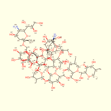 CC1C(O)[C@H](O[C@@H]2OC(CO[C@]3(C(=O)O)C[C@@H](O)[C@@H](N)C([C@H](O)[C@H](O)CO)O3)[C@H](O)C(O)[C@@H]2O)[C@H](CO)O[C@H]1O[C@@H]1C(O)[C@H](O)C(CO)O[C@@H]1OCC1O[C@@H](O[C@@H]2C(CO)O[C@@H](O[C@@H]3C(CO)O[C@@H](C)C(C)[C@H]3O)C(C)[C@H]2O)[C@H](O)C(O[C@H]2O[C@H](CO)[C@@H](O)C(O)C2O[C@@H]2OC(CO)[C@@H](O[C@@H]3OC(CO[C@]4(C(=O)O)C[C@@H](O)[C@@H](N)C([C@H](O)[C@H](O)CO)O4)[C@H](O)C(O)[C@@H]3O)[C@H](O)C2C)[C@@H]1O